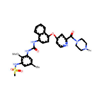 COc1c(NC(=O)Nc2ccc(Oc3ccnc(C(=O)N4CCN(C(C)=O)CC4)c3)c3ccccc23)cc(C(C)(C)C)cc1NS(C)(=O)=O